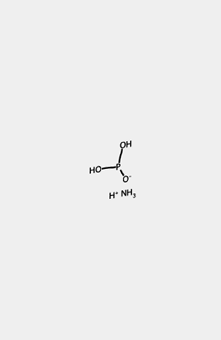 N.[H+].[O-]P(O)O